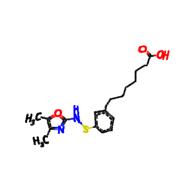 Cc1nc(NSc2cccc(CCCCCCC(=O)O)c2)oc1C